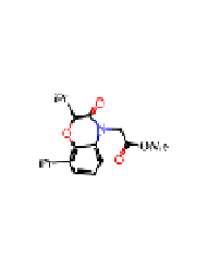 COC(=O)CN1C(=O)C(C(C)C)Oc2c(C(C)C)cccc21